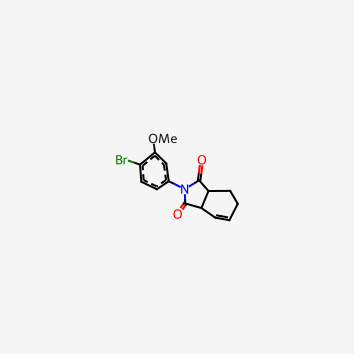 COc1cc(N2C(=O)C3C=CCCC3C2=O)ccc1Br